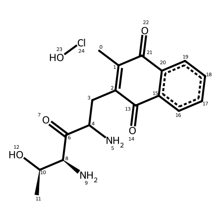 CC1=C(CC(N)C(=O)[C@@H](N)[C@@H](C)O)C(=O)c2ccccc2C1=O.OCl